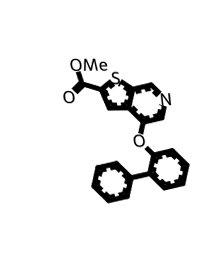 COC(=O)c1cc2c(Oc3ccccc3-c3ccccc3)cncc2s1